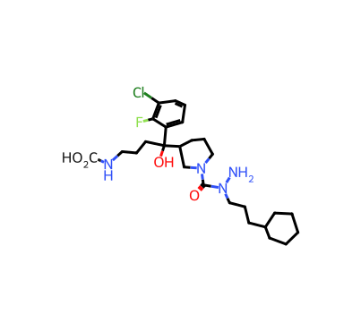 NN(CCCC1CCCCC1)C(=O)N1CCCC(C(O)(CCCNC(=O)O)c2cccc(Cl)c2F)C1